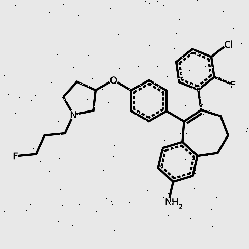 Nc1ccc2c(c1)CCCC(c1cccc(Cl)c1F)=C2c1ccc(OC2CCN(CCCF)C2)cc1